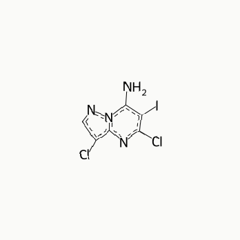 Nc1c(I)c(Cl)nc2c(Cl)cnn12